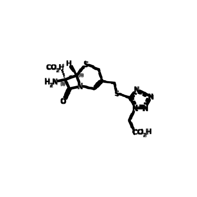 N[C@]1(C(=O)O)C(=O)N2C=C(CSc3nnnn3CC(=O)O)CS[C@H]21